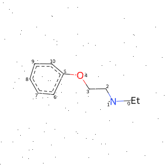 CC[N]CCOc1ccccc1